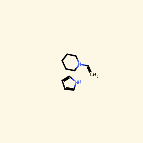 C=CN1CCCCC1.c1cc[nH]c1